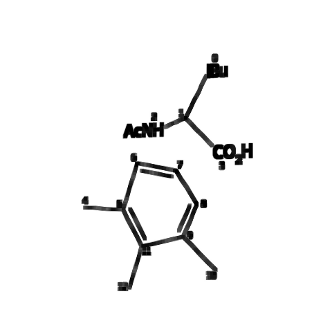 CCC(C)C(NC(C)=O)C(=O)O.Cc1cccc(C)c1C